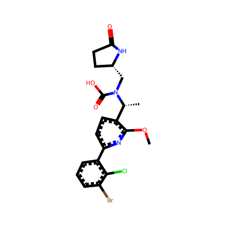 COc1nc(-c2cccc(Br)c2Cl)ccc1[C@@H](C)N(C[C@@H]1CCC(=O)N1)C(=O)O